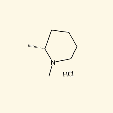 C[C@@H]1CCCCN1C.Cl